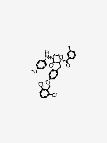 CCN(Nc1ccc(OC)cc1)C(=O)C(Cc1ccc(OCc2c(Cl)cccc2Cl)cc1)NC(=O)c1cccc(C)c1